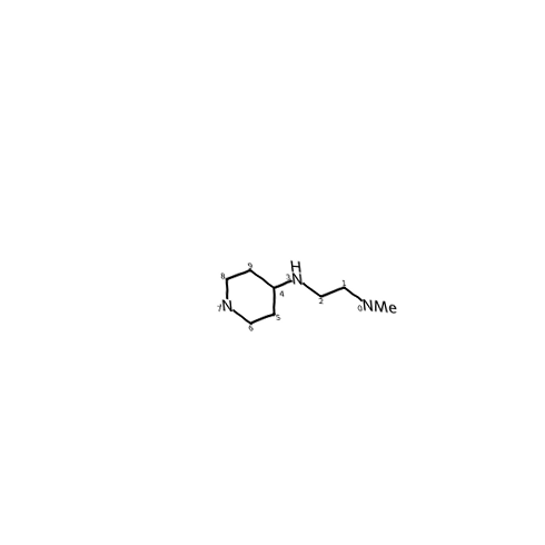 CNCCNC1CC[N]CC1